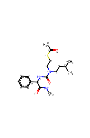 CNC(=O)C(NC(=O)N(CCSC(C)=O)CCC(C)C)c1ccccc1